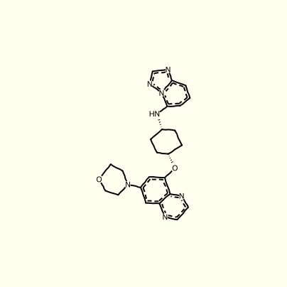 c1cc(N[C@H]2CC[C@@H](Oc3cc(N4CCOCC4)cc4nccnc34)CC2)n2ncnc2c1